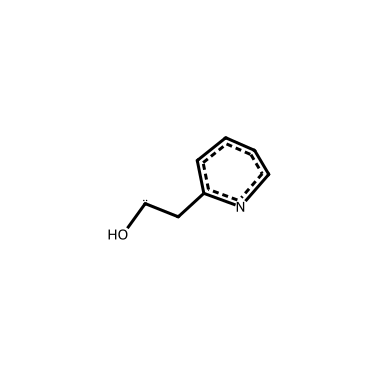 O[C]Cc1ccccn1